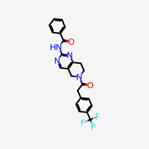 O=C(Nc1ncc2c(n1)CCN(C(=O)Cc1ccc(C(F)(F)F)cc1)C2)c1ccccc1